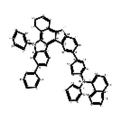 C1=Cc2c(c3c(c4ccc(-c5ccccc5)cc4n3-c3ccccc3)c3c2sc2ccc(-c4ccc(N(c5ccccc5)c5cccc6ccccc56)cc4)cc23)CC1